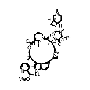 CCn1c(-c2cccnc2[C@H](C)OC)c2c3cc(ccc31)-c1csc(n1)C[C@H](NC(=O)[C@H](C(C)C)N(C)C(=O)N1C[C@H]3CN(C)CC[C@H]31)C(=O)N1CCC[C@H](N1)C(=O)OCC(C)(C)C2